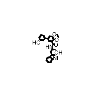 O=C(N[C@@H](CO)Cc1c[nH]c2ccccc12)c1cc(-c2cccc(O)c2)cc2c1OCCO2